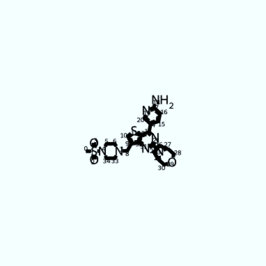 CS(=O)(=O)N1CCN(Cc2csc3c(-c4ccc(N)nc4)nc(N4C5CCC4COC5)nc23)CC1